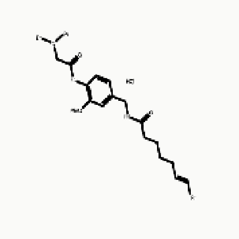 CCN(CC(=O)Oc1ccc(CNC(=O)CCCC/C=C/C(C)C)cc1OC)C(C)C.Cl